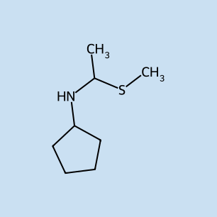 CSC(C)NC1CCCC1